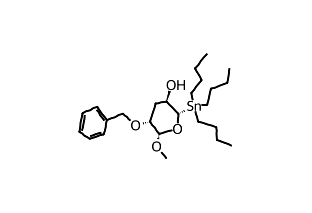 CCC[CH2][Sn]([CH2]CCC)([CH2]CCC)[C@@H]1O[C@H](OC)[C@H](OCc2ccccc2)C[C@H]1O